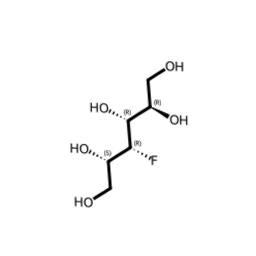 OC[C@@H](O)[C@@H](O)[C@H](F)[C@@H](O)CO